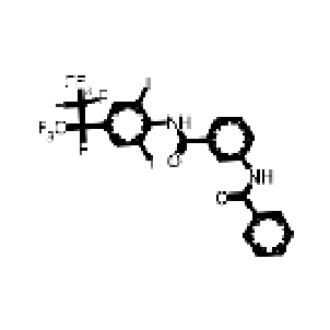 O=C(Nc1cccc(C(=O)Nc2c(I)cc(C(F)(C(F)(F)F)C(F)(F)C(F)(F)F)cc2I)c1)c1ccccc1